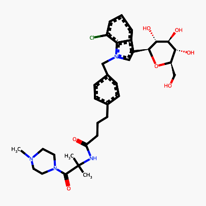 CN1CCN(C(=O)C(C)(C)NC(=O)CCCc2ccc(Cn3cc([C@@H]4O[C@H](CO)[C@@H](O)[C@H](O)[C@H]4O)c4cccc(Cl)c43)cc2)CC1